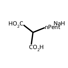 CCCCCC(C(=O)O)C(=O)O.[NaH]